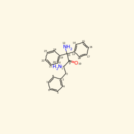 N[C@@H](Cc1ccccc1)C(=O)C(N)(c1ccccc1)c1ccccc1